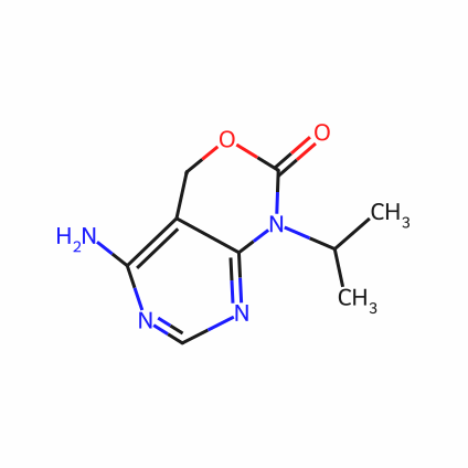 CC(C)N1C(=O)OCc2c(N)ncnc21